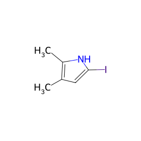 Cc1cc(I)[nH]c1C